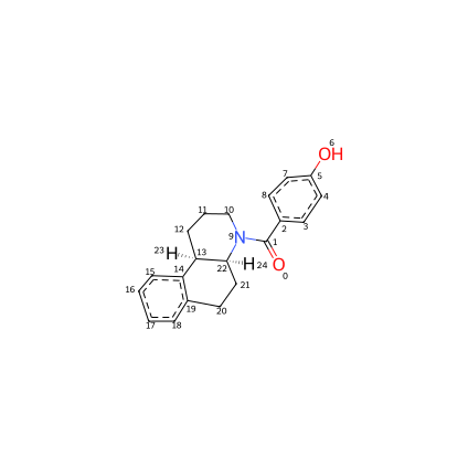 O=C(c1ccc(O)cc1)N1CCC[C@@H]2c3ccccc3CC[C@@H]21